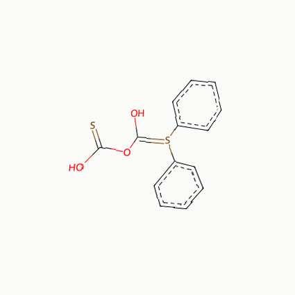 OC(=S)OC(O)=S(c1ccccc1)c1ccccc1